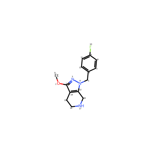 CCOc1nn(Cc2ccc(F)cc2)c2c1CCNC2